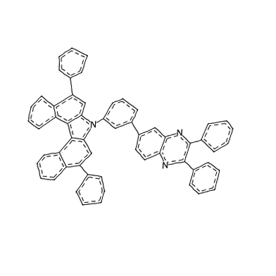 c1ccc(-c2nc3ccc(-c4cccc(-n5c6cc(-c7ccccc7)c7ccccc7c6c6c7ccccc7c(-c7ccccc7)cc65)c4)cc3nc2-c2ccccc2)cc1